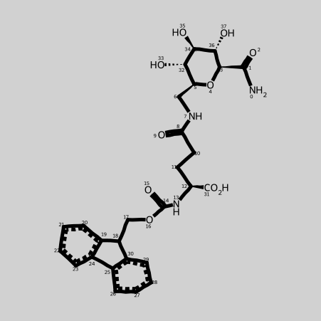 NC(=O)[C@H]1O[C@@H](CNC(=O)CC[C@H](NC(=O)OCC2c3ccccc3-c3ccccc32)C(=O)O)[C@H](O)[C@@H](O)[C@@H]1O